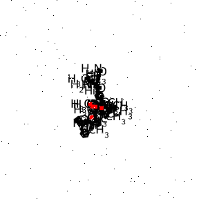 CC[C@H](C)[C@@H]([C@@H](CC(=O)N1CCC[C@H]1[C@H](OC)[C@@H](C)C(=O)N[C@@H](Cc1ccccc1)c1nccs1)OC)N(C)C(=O)[C@@H](NC(=O)[C@H](C(C)C)N(C)C(=O)OC(C(=O)N1CCN(C)CC1)c1ccc(NC(=O)C(CCCNC(N)=O)NC(=O)[C@@H](N)C(C)C)cc1)C(C)C